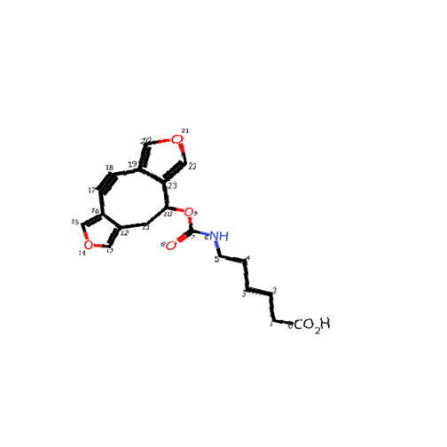 O=C(O)CCCCCNC(=O)OC1Cc2cocc2C#Cc2cocc21